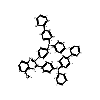 Cc1cccc2nc(-c3ccc(N(c4ccccc4)c4ccc(-c5ccccc5)cc4)cc3)c(-c3ccc(N(c4ccccc4)c4ccc(-c5ccccc5)cc4)cc3)nc12